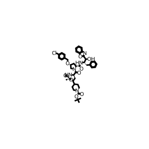 CC(C)(C)OC(=O)N1CCC(CC[C@@H](NS(C)(=O)=O)C(=O)N2C[C@H](OCc3ccc(Cl)cc3)C[C@H]2C(=O)N[C@@H](Cc2ccccc2)C(O)c2nc3ccccc3o2)CC1